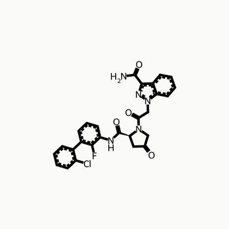 NC(=O)c1nn(CC(=O)N2CC(=O)C[C@H]2C(=O)Nc2cccc(-c3ccccc3Cl)c2F)c2ccccc12